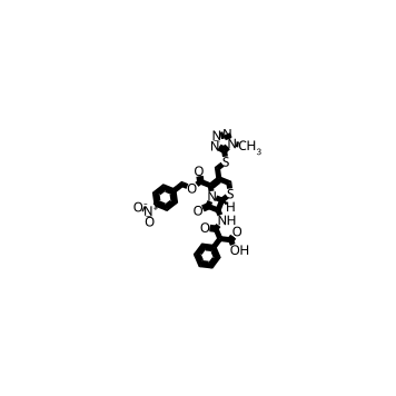 Cn1nnnc1SCC1=C(C(=O)OCc2ccc([N+](=O)[O-])cc2)N2C(=O)C(NC(=O)C(C(=O)O)c3ccccc3)[C@H]2SC1